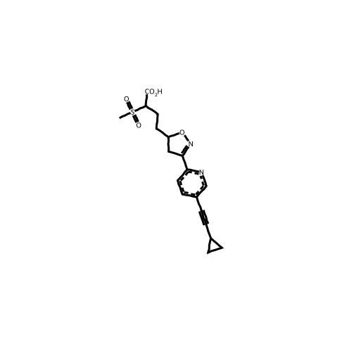 CS(=O)(=O)C(CCC1CC(c2ccc(C#CC3CC3)cn2)=NO1)C(=O)O